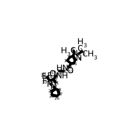 CC(C)c1nc2c(n1C)CCC(C(=O)NCCNC(=O)c1cn(-c3ccccc3)nc1C(F)(F)F)C2